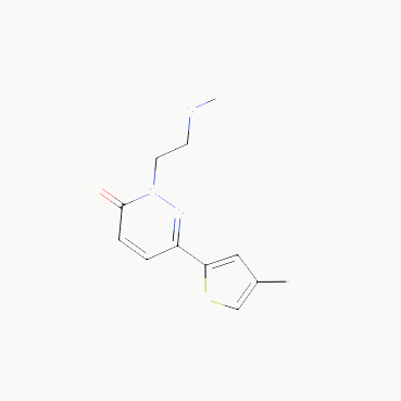 CNCCn1nc(-c2cc(C)cs2)ccc1=O